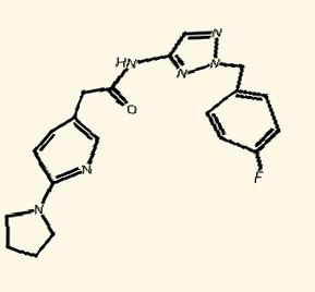 O=C(Cc1ccc(N2CCCC2)nc1)Nc1cnn(Cc2ccc(F)cc2)n1